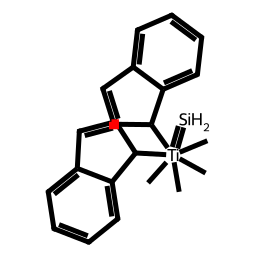 [CH3][Ti]([CH3])([CH3])([CH3])(=[SiH2])([CH]1C=Cc2ccccc21)[CH]1C=Cc2ccccc21